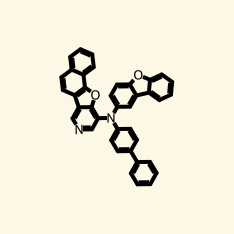 c1ccc(-c2ccc(N(c3ccc4oc5ccccc5c4c3)c3cncc4c3oc3c5ccccc5ccc43)cc2)cc1